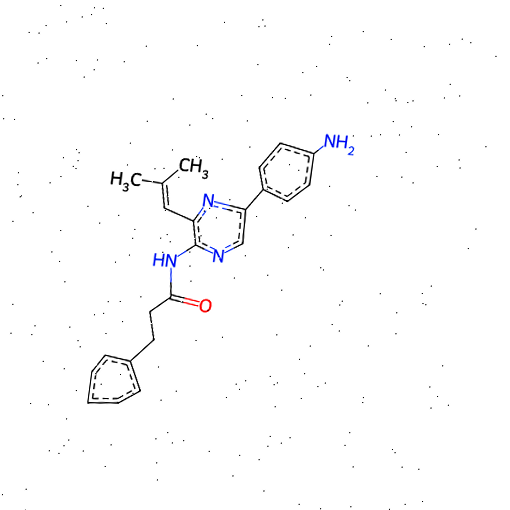 CC(C)=Cc1nc(-c2ccc(N)cc2)cnc1NC(=O)CCc1ccccc1